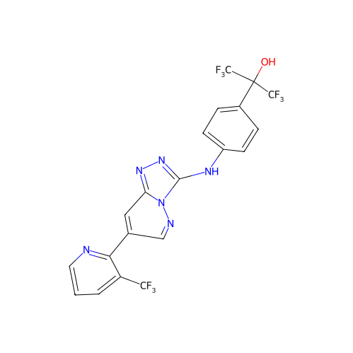 OC(c1ccc(Nc2nnc3cc(-c4ncccc4C(F)(F)F)cnn23)cc1)(C(F)(F)F)C(F)(F)F